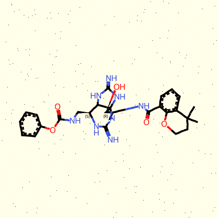 CC1(C)CCOc2c(C(=O)NC3CN4C(=N)N[C@@H](CNC(=O)Oc5ccccc5)C5NC(=N)NC54[C@@H]3O)cccc21